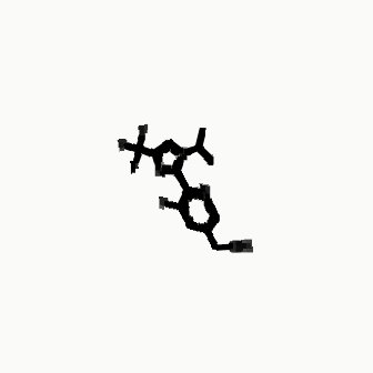 CC(C)n1cc(C(F)(F)F)nc1-c1ncc(CO)cc1F